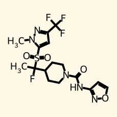 Cn1nc(C(F)(F)F)cc1S(=O)(=O)C(C)(F)C1CCN(C(=O)Nc2ccon2)CC1